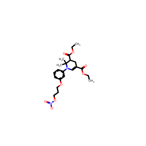 CCOC(=O)C1=CN(c2cccc(OCCCO[N+](=O)[O-])c2)C(C)(C)C(C(=O)OCC)C1